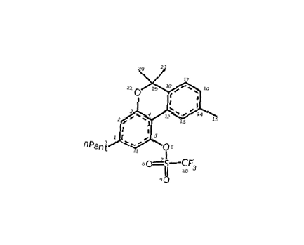 CCCCCc1cc2c(c(OS(=O)(=O)C(F)(F)F)c1)-c1cc(C)ccc1C(C)(C)O2